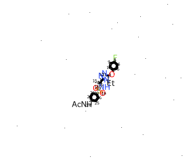 CCn1c(Oc2ccc(F)cc2)nnc1[C@@H](C)NS(=O)(=O)c1ccc(NC(C)=O)cc1